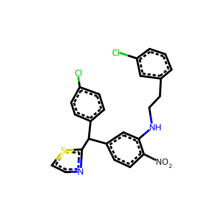 O=[N+]([O-])c1ccc(C(c2ccc(Cl)cc2)c2nccs2)cc1NCCc1cccc(Cl)c1